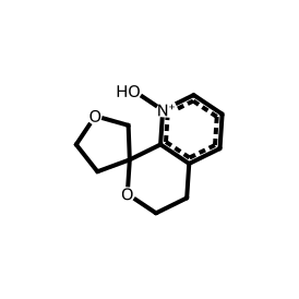 O[n+]1cccc2c1C1(CCOC1)OCC2